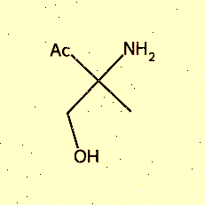 CC(=O)C(C)(N)CO